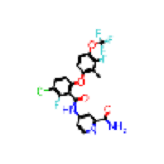 Cc1c(Oc2ccc(Cl)c(F)c2C(=O)Nc2ccnc(C(N)=O)c2)ccc(OC(F)(F)F)c1F